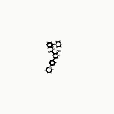 Nc1ncc(-c2ccc(N3CCCCC3)cc2)nc1C(=O)Nc1cnccc1N1CCOCC1